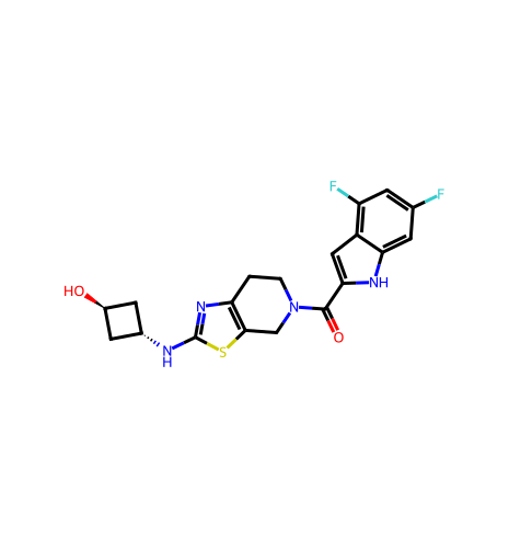 O=C(c1cc2c(F)cc(F)cc2[nH]1)N1CCc2nc(N[C@H]3C[C@H](O)C3)sc2C1